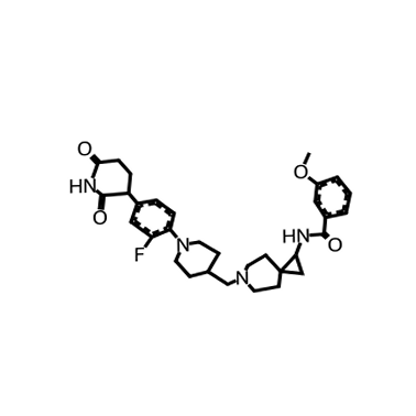 COc1cccc(C(=O)NC2CC23CCN(CC2CCN(c4ccc(C5CCC(=O)NC5=O)cc4F)CC2)CC3)c1